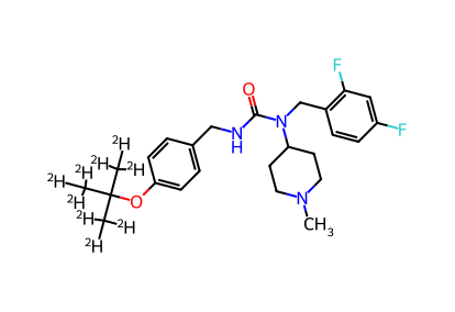 [2H]C([2H])([2H])C(Oc1ccc(CNC(=O)N(Cc2ccc(F)cc2F)C2CCN(C)CC2)cc1)(C([2H])([2H])[2H])C([2H])([2H])[2H]